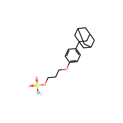 O=S(=O)(OCCCOc1ccc(C23CC4CC(CC(C4)C2)C3)cc1)C(F)(F)F